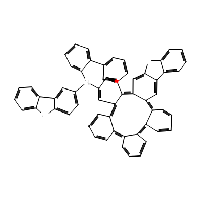 c1ccc(-c2ccccc2N(c2ccc3oc4ccccc4c3c2)c2ccc3c(c2)c2ccccc2c2ccccc2c2ccccc2c2cc4c(cc32)sc2ccccc24)cc1